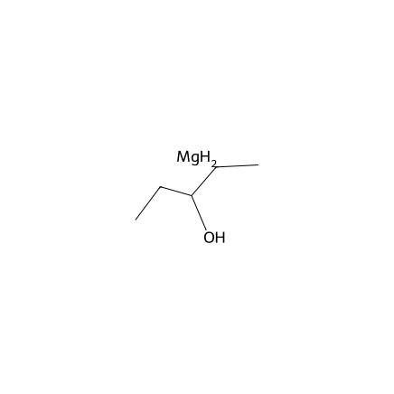 CCC(O)CC.[MgH2]